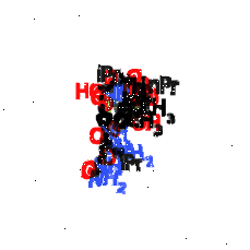 CCCC1O[C@@H]2C[C@H]3[C@@H]4C[C@H](F)C5=CC(=O)C=C[C@]5(C)[C@@]4(F)[C@@H](O)C[C@]3(C)[C@]2(C(=O)COC(=O)[C@H](CC(C)C)NC(=O)[C@H](CO)NC(=O)OCc2ccc(NC(=O)[C@H](CCCNC(N)=O)NC(=O)[C@@H](N)C(C)C)cc2)O1